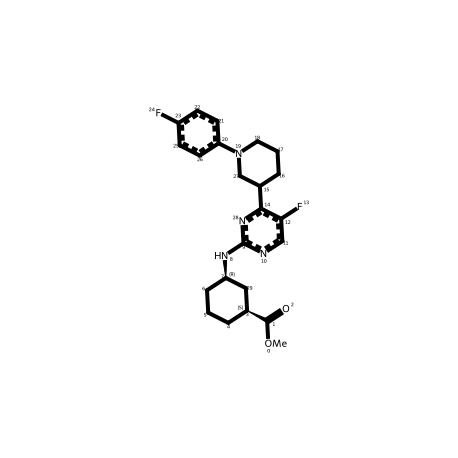 COC(=O)[C@H]1CCC[C@@H](Nc2ncc(F)c(C3CCCN(c4ccc(F)cc4)C3)n2)C1